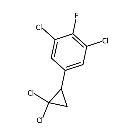 Fc1c(Cl)cc(C2CC2(Cl)Cl)cc1Cl